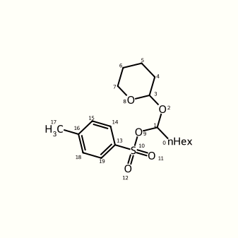 CCCCCCC(OC1CCCCO1)OS(=O)(=O)c1ccc(C)cc1